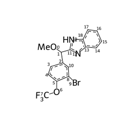 COC(c1ccc(OC(F)(F)F)c(Br)c1)c1nc2ccccc2[nH]1